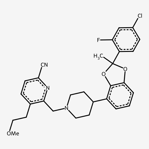 COCCc1ccc(C#N)nc1CN1CCC(c2cccc3c2OC(C)(c2ccc(Cl)cc2F)O3)CC1